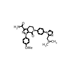 COc1ccc(-n2nc(C(N)=O)c3c2C(=O)N(c2ccc(-n4ccnc4CN(C)C)cc2)CC3)cc1